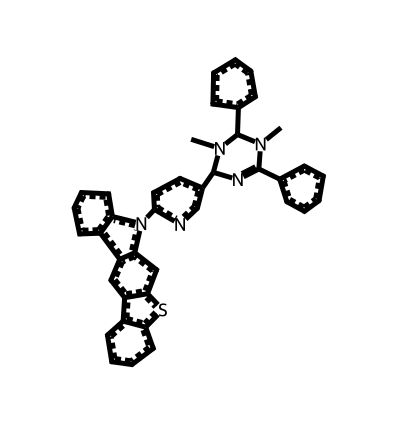 CN1C(c2ccccc2)=NC(c2ccc(-n3c4ccccc4c4cc5c(cc43)sc3ccccc35)nc2)N(C)C1c1ccccc1